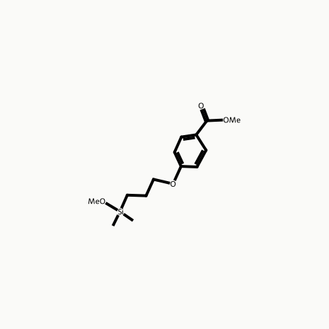 COC(=O)c1ccc(OCCC[Si](C)(C)OC)cc1